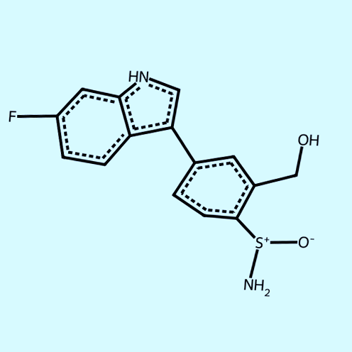 N[S+]([O-])c1ccc(-c2c[nH]c3cc(F)ccc23)cc1CO